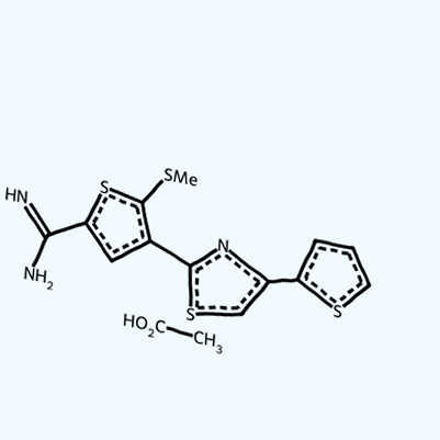 CC(=O)O.CSc1sc(C(=N)N)cc1-c1nc(-c2cccs2)cs1